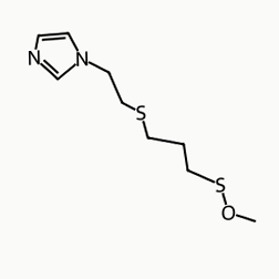 COSCCCSCCn1ccnc1